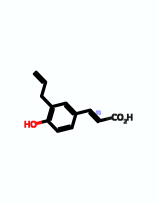 C=CCc1cc(/C=C/C(=O)O)ccc1O